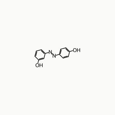 Oc1ccc(N=Nc2cccc(O)c2)cc1